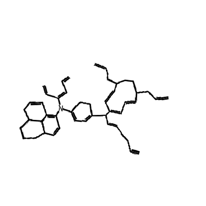 C=C/C=C(\C=C)N(C1=CC=C(C(/C=C/CCC=C)C2=C/C=C/C(CC=C)CCC(CC=C)\C=C\2)CC1)C1=C2C=CCC3CCCC(C=C1)C23